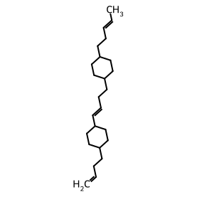 C=CCCC1CCC(C=CCCC2CCC(CCC=CC)CC2)CC1